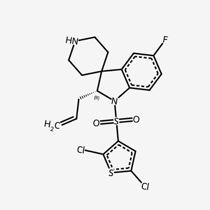 C=CC[C@H]1N(S(=O)(=O)c2cc(Cl)sc2Cl)c2ccc(F)cc2C12CCNCC2